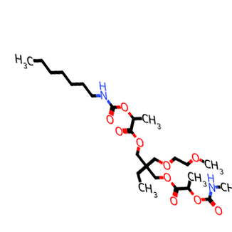 CCCCCCCNC(=O)OC(C)C(=O)OCC(CC)(COCCOC)COC(=O)C(C)OC(=O)NC